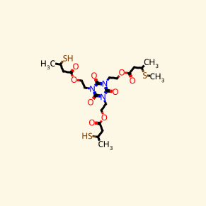 CSC(C)CC(=O)OCCn1c(=O)n(CCOC(=O)CC(C)S)c(=O)n(CCOC(=O)CC(C)S)c1=O